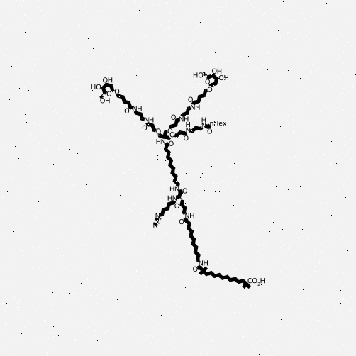 CCCCCCC(=O)NCCCNC(=O)CCOCC(COCCC(=O)NCCCNC(=O)CCCCO[C@H]1C[C@@H](O)[C@@H](O)[C@@H](CO)O1)(COCCC(=O)NCCCNC(=O)CCCCO[C@H]1C[C@@H](O)[C@@H](O)[C@@H](CO)O1)NC(=O)CCCCCCCCCCNC(=O)[C@H](CCCCNC(=O)CCCCCCCCCCNC(=O)C(C)(C)CCCCCCCCCCC(C)(C)C(=O)O)NC(=O)CCCCN=[N+]=[N-]